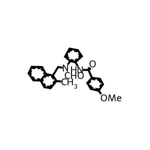 COc1ccc(C(=O)Nc2ccccc2N(C=O)Cc2c(C)ccc3ccccc23)cc1